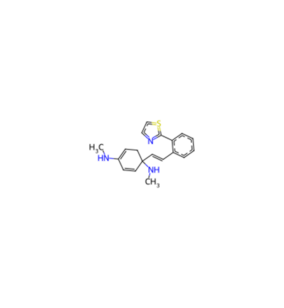 CNC1=CCC(C=Cc2ccccc2-c2nccs2)(NC)C=C1